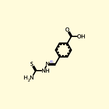 NC(=S)N/N=C/c1ccc(C(=O)O)cc1